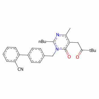 CCCCc1nc(C)c(CC(=O)C(C)(C)C)c(=O)n1Cc1ccc(-c2ccccc2C#N)cc1